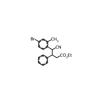 CCOC(=O)CC(c1ccccc1)C(C#N)c1ccc(Br)cc1C